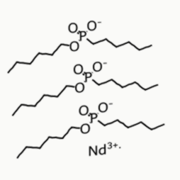 CCCCCCOP(=O)([O-])CCCCCC.CCCCCCOP(=O)([O-])CCCCCC.CCCCCCOP(=O)([O-])CCCCCC.[Nd+3]